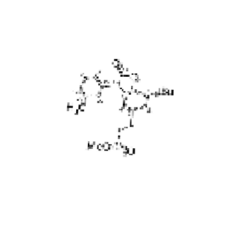 COC(=O)CCc1cc2c(c(C(C)(C)C)c1)OC(=O)C2c1cccc(C)c1